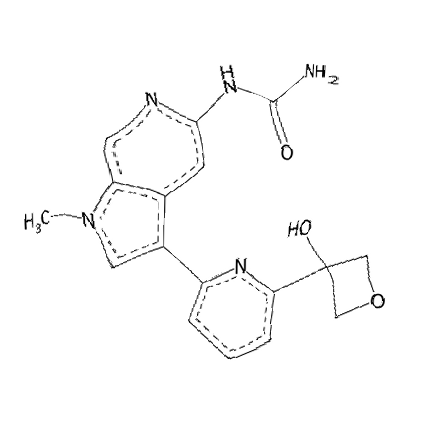 Cn1cc(-c2cccc(C3(O)COC3)n2)c2cc(NC(N)=O)ncc21